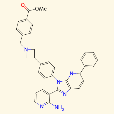 COC(=O)c1ccc(CN2CC(c3ccc(-n4c(-c5cccnc5N)nc5ccc(-c6ccccc6)nc54)cc3)C2)cc1